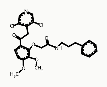 COc1ccc(C(=O)Cc2c(Cl)cncc2Cl)c(OCC(=O)NCCCc2ccccc2)c1OC